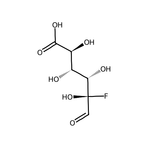 O=C[C@@](O)(F)[C@@H](O)[C@H](O)[C@H](O)C(=O)O